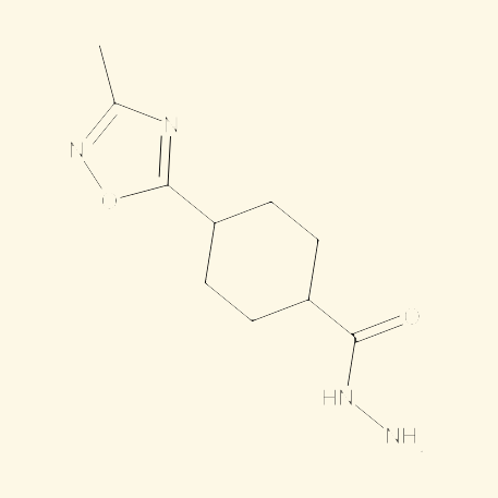 Cc1noc(C2CCC(C(=O)NN)CC2)n1